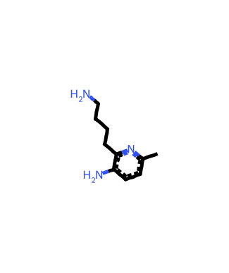 Cc1ccc(N)c(CCCCN)n1